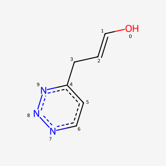 OC=CCc1ccnnn1